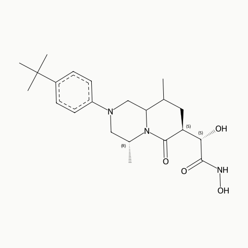 CC1C[C@@H]([C@H](O)C(=O)NO)C(=O)N2C1CN(c1ccc(C(C)(C)C)cc1)C[C@H]2C